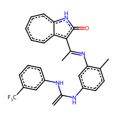 C=C(Nc1cccc(C(F)(F)F)c1)Nc1ccc(C)c(/N=C(\C)c2c3cccccc-3[nH]c2=O)c1